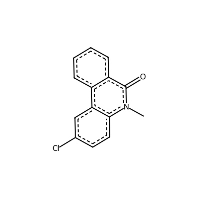 Cn1c(=O)c2ccccc2c2cc(Cl)ccc21